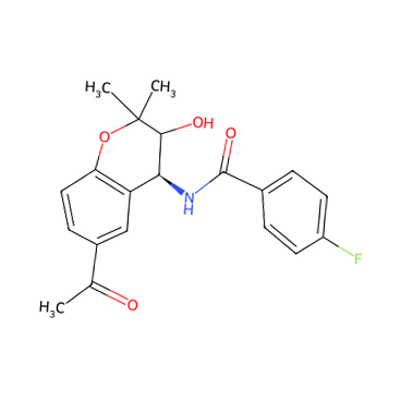 CC(=O)c1ccc2c(c1)[C@H](NC(=O)c1ccc(F)cc1)C(O)C(C)(C)O2